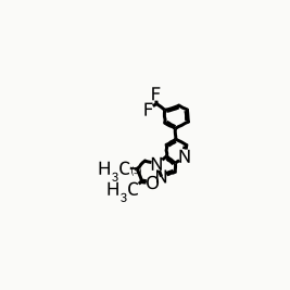 CC(=O)[C@@H](C)Cn1ncc2ncc(-c3cccc(C(F)F)c3)cc21